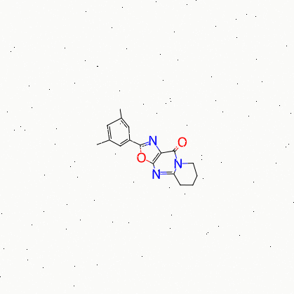 Cc1cc(C)cc(-c2nc3c(=O)n4c(nc3o2)CCCC4)c1